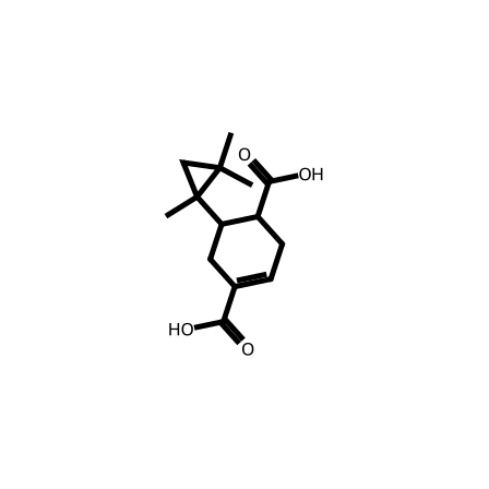 CC1(C)CC1(C)C1CC(C(=O)O)=CCC1C(=O)O